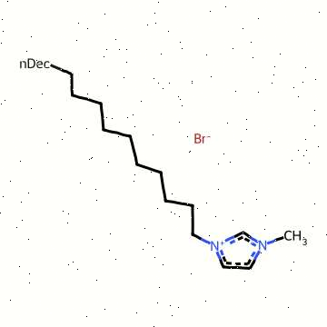 CCCCCCCCCCCCCCCCCCCC[n+]1ccn(C)c1.[Br-]